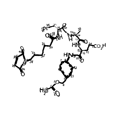 BC(=O)OCc1ccc(NC(=O)[C@H](CCC(=O)O)NC(=O)[C@H](C)NC(=O)[C@@H](CC(C)C)NC(=O)CCCCCN2C(=O)C=CC2=O)cc1